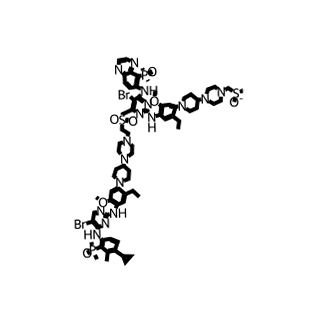 CCc1cc(Nc2ncc(Br)c(Nc3ccc(C4CC4)c(C)c3P(C)(C)=O)n2)c(OC)cc1N1CCC(N2CCN(CCS(=O)(=O)Cc3nc(Nc4cc(CC)c(N5CCC(N6CCN(C[S+](C)[O-])CC6)CC5)cc4OC)nc(Nc4ccc5nccnc5c4P(C)(C)=O)c3Br)CC2)CC1